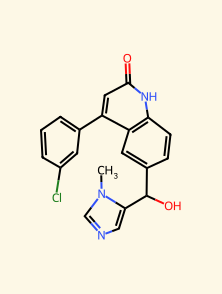 Cn1cncc1C(O)c1ccc2[nH]c(=O)cc(-c3cccc(Cl)c3)c2c1